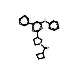 O=C(C1CCC1)N1CCC(c2nc(Nc3ccccc3)cc(-c3cccnc3)n2)C1